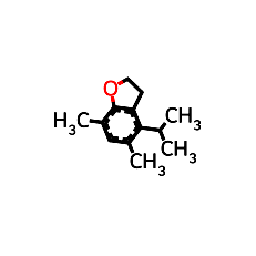 Cc1cc(C)c(C(C)C)c2c1OCC2